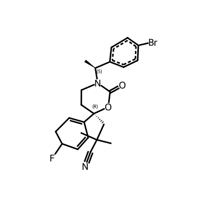 C[C@@H](c1ccc(Br)cc1)N1CC[C@](CC(C)(C)C#N)(C2=CCC(F)C=C2)OC1=O